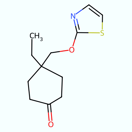 CCC1(COc2nccs2)CCC(=O)CC1